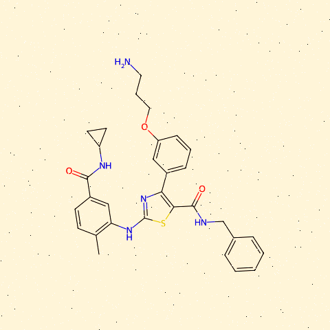 Cc1ccc(C(=O)NC2CC2)cc1Nc1nc(-c2cccc(OCCCN)c2)c(C(=O)NCc2ccccc2)s1